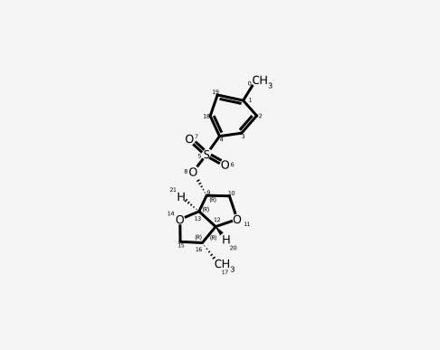 Cc1ccc(S(=O)(=O)O[C@@H]2CO[C@H]3[C@H]2OC[C@H]3C)cc1